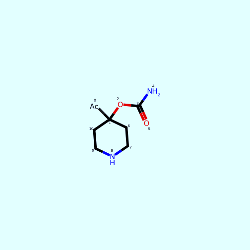 CC(=O)C1(OC(N)=O)CCNCC1